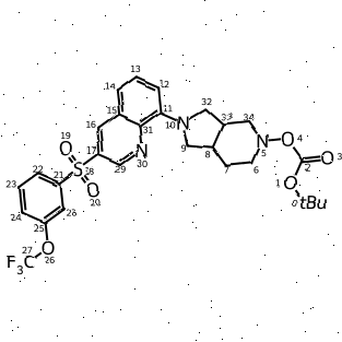 CC(C)(C)OC(=O)ON1CCC2CN(c3cccc4cc(S(=O)(=O)c5cccc(OC(F)(F)F)c5)cnc34)CC2C1